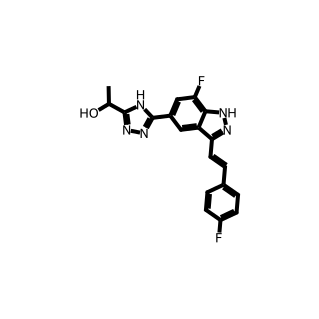 CC(O)c1nnc(-c2cc(F)c3[nH]nc(C=Cc4ccc(F)cc4)c3c2)[nH]1